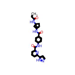 C=CC(=O)NC12CC(C1)C(NC(=O)c1ccc(NC(=O)c3cccc(-c4ccn[nH]4)n3)cc1)C2